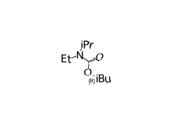 CC[C@@H](C)OC(=O)N(CC)C(C)C